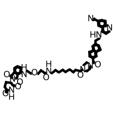 N#Cc1ccc2nccc(NCCc3ccc4cc(C(=O)N5CCN(C(=O)CCCCCCCCNC(=O)CCOCCNc6cccc7c6C(=O)N(C6CCC(=O)NC6=O)C7=O)CC5)ccc4c3)c2c1